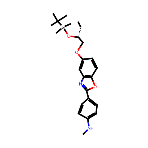 CC[C@H](COc1ccc2oc(-c3ccc(NC)cc3)nc2c1)O[Si](C)(C)C(C)(C)C